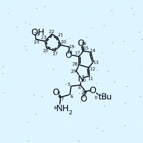 CC(C)(C)OC(=O)C(CCC(N)=O)N1C=C2C=CC(=O)C(OCc3ccc(CO)cc3)=C2C1